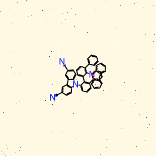 N#Cc1ccc2c(c1)c1cc(C#N)ccc1n2-c1cccc(-c2ccccc2)c1-c1cccc(-c2ccccc2)c1-n1c2ccccc2c2ccccc21